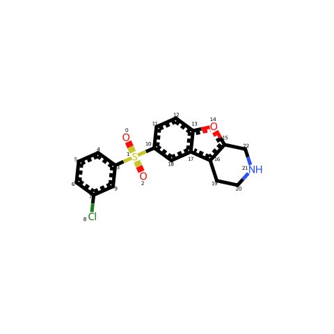 O=S(=O)(c1cccc(Cl)c1)c1ccc2oc3c(c2c1)CCNC3